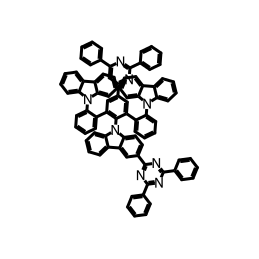 c1ccc(-c2cc(-c3cc(-c4ccccc4-n4c5ccccc5c5ccccc54)c(-n4c5ccccc5c5cc(-c6nc(-c7ccccc7)nc(-c7ccccc7)n6)ccc54)c(-c4ccccc4-n4c5ccccc5c5ccccc54)c3)nc(-c3ccccc3)n2)cc1